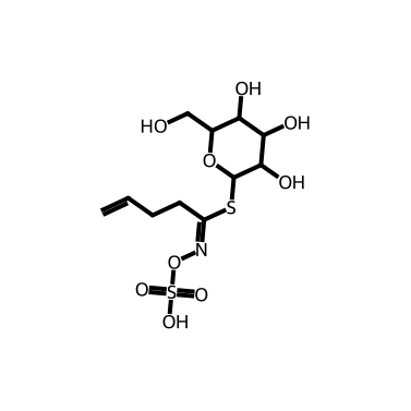 C=CCC/C(=N\OS(=O)(=O)O)SC1OC(CO)C(O)C(O)C1O